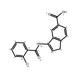 O=C(O)c1ccc2c(c1)C(NC(=O)c1ccccc1Cl)=[C]C2